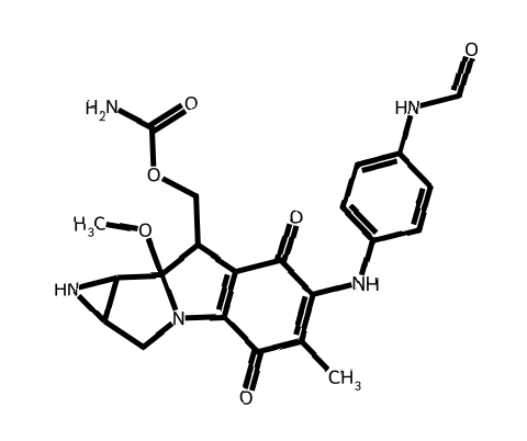 COC12C(COC(N)=O)C3=C(C(=O)C(C)=C(Nc4ccc(NC=O)cc4)C3=O)N1CC1NC12